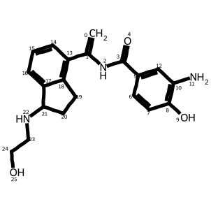 C=C(NC(=O)c1ccc(O)c(N)c1)c1cccc2c1CCC2NCCO